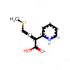 CSC=C=C(C(=O)O)c1ccccn1